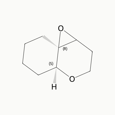 C1CC[C@]23OC2CCO[C@H]3C1